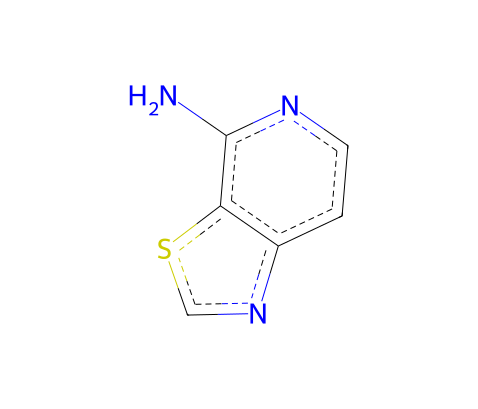 Nc1nccc2ncsc12